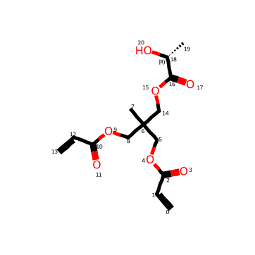 C=CC(=O)OCC(C)(COC(=O)C=C)COC(=O)[C@@H](C)O